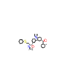 CCn1c2ccc(C(=O)/C(CCSc3ccccc3)=N\C(C)=O)cc2c2cc(C(=O)c3ccccc3C)ccc21